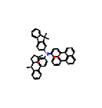 CC1CCC(C(C)c2ccccc2-c2ccc(N(c3ccc(-c4cccc5cccc(-c6ccccc6)c45)cc3)c3ccc4c(c3)C(C)(C)c3ccccc3-4)cc2)C1